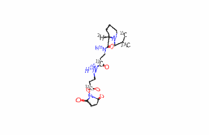 [2H]C1(C(=O)[15NH]CC[13C](=O)[15NH]CC[13C](=O)ON2C(=O)CCC2=O)CCCN1CC([13CH3])[13CH3]